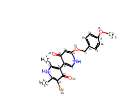 Cc1[nH]c(C)c(-c2c[nH]c(OCc3ccc(OC(F)(F)F)cc3)cc2=O)c(=O)c1Br